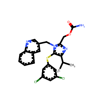 CC(C)c1nc(COC(N)=O)n(Cc2cnc3ccccc3c2)c1Sc1cc(Cl)cc(Cl)c1